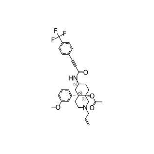 C=CCN1CC[C@@]2(c3cccc(OC)c3)C[C@@H](NC(=O)C#Cc3ccc(C(F)(F)F)cc3)CC[C@]2(OC(C)=O)C1